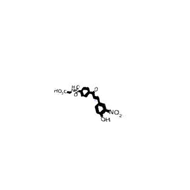 O=C(O)CNS(=O)(=O)c1ccc(C(=O)/C=C/c2ccc(O)c([N+](=O)[O-])c2)cc1